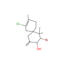 C=C1CC2(CCC(C)=C(Cl)C2)C(C)(C)C(Br)C1O